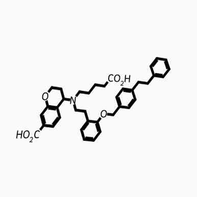 O=C(O)CCCCN(CCc1ccccc1OCc1ccc(CCc2ccccc2)cc1)C1CCOc2cc(C(=O)O)ccc21